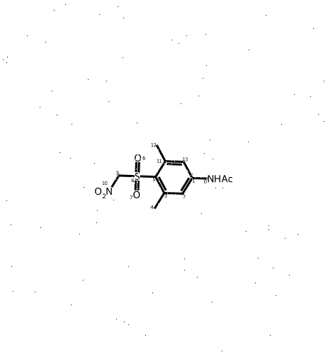 CC(=O)Nc1cc(C)c(S(=O)(=O)C[N+](=O)[O-])c(C)c1